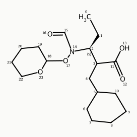 CC[C@@H](C(CC1CCCCC1)C(=O)O)N(C=O)OC1CCCCO1